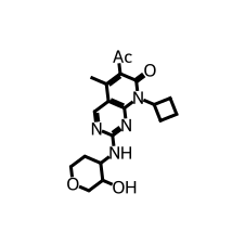 CC(=O)c1c(C)c2cnc(NC3CCOCC3O)nc2n(C2CCC2)c1=O